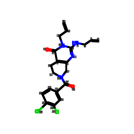 C=CCNc1nc2c(c(=O)n1CC=C)CCN(C(=O)c1ccc(Cl)c(Cl)c1)C2